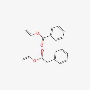 C=COC(=O)Cc1ccccc1.C=COC(=O)c1ccccc1